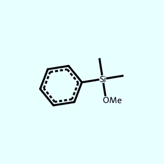 CO[Si](C)(C)c1ccccc1